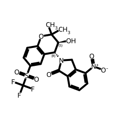 CC1(C)Oc2ccc(S(=O)(=O)C(F)(F)F)cc2[C@@H](N2Cc3c(cccc3[N+](=O)[O-])C2=O)[C@@H]1O